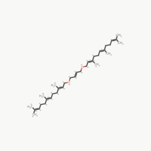 CC(C)=CCC/C(C)=C/CC/C(C)=C/COC/C=C/COC/C=C(\C)CC/C=C(\C)CCC=C(C)C